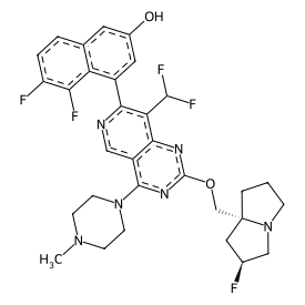 CN1CCN(c2nc(OC[C@]34CCCN3C[C@@H](F)C4)nc3c(C(F)F)c(-c4cc(O)cc5ccc(F)c(F)c45)ncc23)CC1